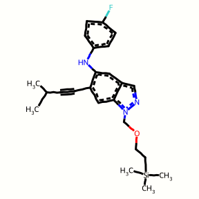 CC(C)C#Cc1cc2c(cnn2COCC[Si](C)(C)C)cc1Nc1ccc(F)cc1